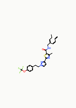 C=C/C=C\C(=C/CC)CNC(=O)c1sc(-c2ccn(CCc3ccc(OC(F)(F)F)cc3)n2)nc1C